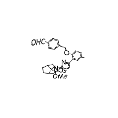 COC(=O)C1(C)C2CCC1CN(c1nc(-c3cc(C)ccc3OCc3ccc(C=O)cc3)cs1)C2